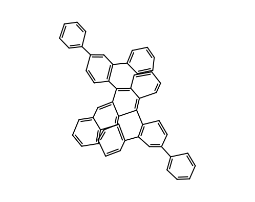 c1ccc(-c2ccc(-c3c4ccccc4c(-c4ccc(-c5ccccc5)cc4-c4ccccc4)c4cc5ccccc5cc34)c(-c3ccccc3)c2)cc1